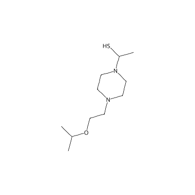 CC(C)OCCN1CCN(C(C)S)CC1